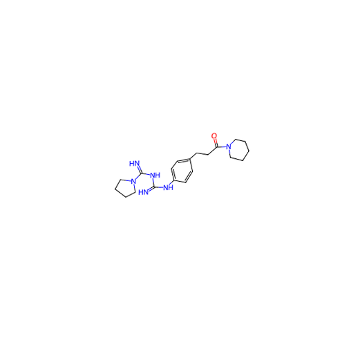 N=C(NC(=N)N1CCCC1)Nc1ccc(CCC(=O)N2CCCCC2)cc1